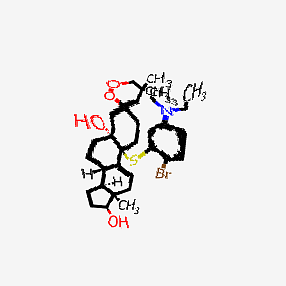 CCN(CC)c1ccc(Br)c(S[C@]23CCC4(CC(C)(C)COO4)C[C@]2(O)CC[C@@H]2C3=CC[C@]3(C)[C@@H](O)CC[C@@H]23)c1